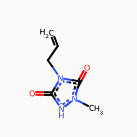 C=CCn1c(=O)[nH]n(C)c1=O